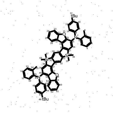 Cc1ccccc1N(c1ccc(C(C)(C)C)cc1)c1cc2c(c3c1oc1ccccc13)-c1cc3c(cc1[Si]2(C)C)-c1c(cc(N(c2ccc(C(C)(C)C)cc2)c2ccccc2C)c2c1oc1ccccc12)[Si]3(C)C